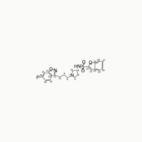 O=S(=O)(N[C@@H]1CCN(CCCc2noc3cc(F)ccc23)C1)c1cc2ccccc2o1